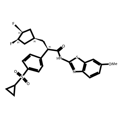 COc1ccc2nc(NC(=O)[C@H](C[C@H]3C[C@@H](F)[C@@H](F)C3)c3ccc(S(=O)(=O)C4CC4)cc3)sc2c1